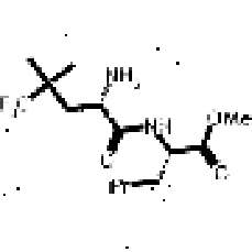 COC(=O)[C@H](CC(C)C)NC(=O)[C@@H](N)CC(C)(C)C(F)(F)F